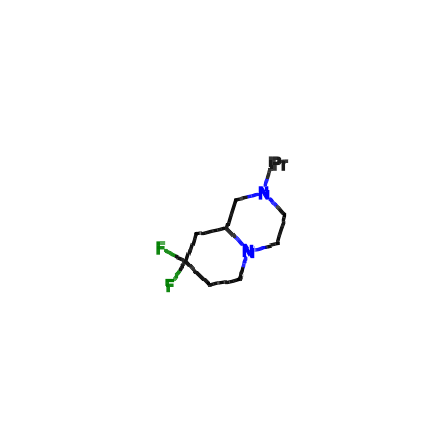 CC(C)N1CCN2CCC(F)(F)CC2C1